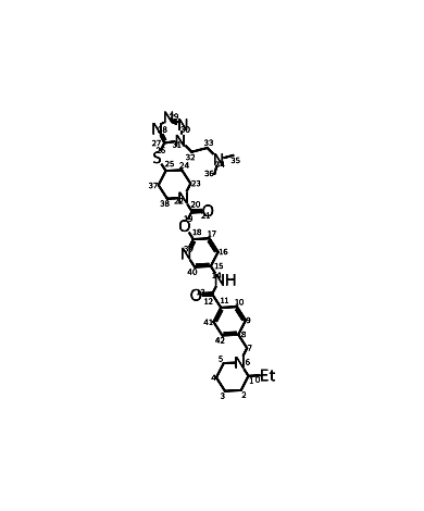 CCC1CCCCN1Cc1ccc(C(=O)Nc2ccc(OC(=O)N3CCC(Sc4nnnn4CCN(C)C)CC3)nc2)cc1